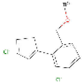 [Cl-].[Cl-].[Ti+2][O]Cc1ccccc1C1=CC=CC1